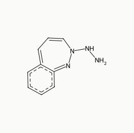 NNN1C=CC=c2ccccc2=N1